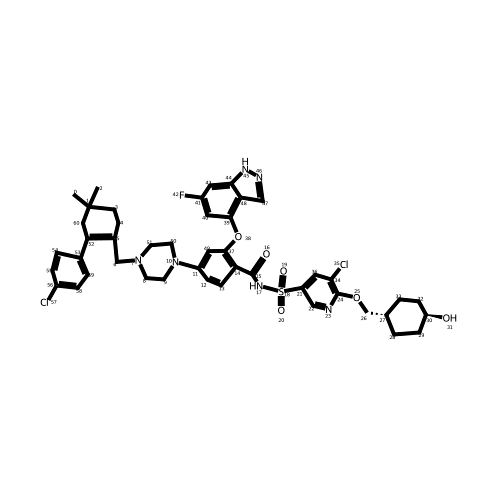 CC1(C)CCC(CN2CCN(c3ccc(C(=O)NS(=O)(=O)c4cnc(OC[C@H]5CC[C@H](O)CC5)c(Cl)c4)c(Oc4cc(F)cc5[nH]ncc45)c3)CC2)=C(c2ccc(Cl)cc2)C1